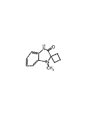 CN1c2ccccc2NC(=O)C12CCC2